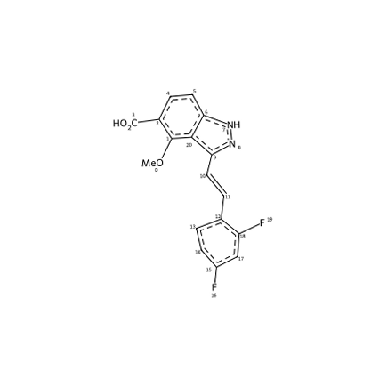 COc1c(C(=O)O)ccc2[nH]nc(C=Cc3ccc(F)cc3F)c12